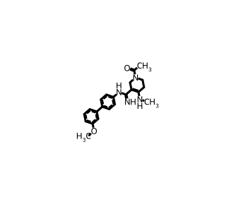 CNC1=C(C(=N)Nc2ccc(-c3cccc(OC)c3)cc2)CN(C(C)=O)CC1